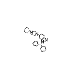 c1ccc(C(c2ccccc2)n2cnc3ccc(N4CCN(C5CCCCC5)CC4)cc32)cc1